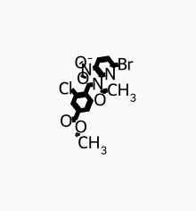 CCOC(=O)c1ccc(CN(C(C)=O)c2nc(Br)ccc2[N+](=O)[O-])c(Cl)c1